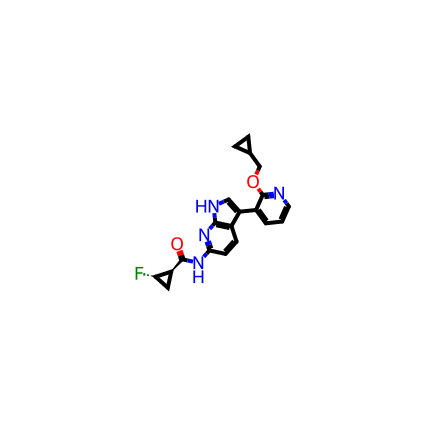 O=C(Nc1ccc2c(-c3cccnc3OCC3CC3)c[nH]c2n1)[C@H]1C[C@@H]1F